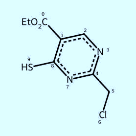 CCOC(=O)c1cnc(CCl)nc1S